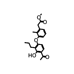 CCCc1c(Oc2cccc(CC(=O)OC)c2C)ccc(C(C)=O)c1O